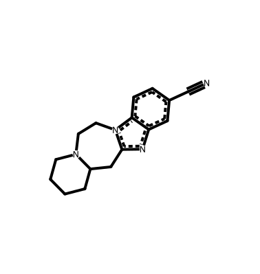 N#Cc1ccc2c(c1)nc1n2CCN2CCCCC2C1